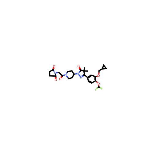 CC1(C)C(=O)N(C2CCN(C(=O)CN3C(=O)CCC3=O)CC2)N=C1c1ccc(OC(F)F)c(OCC2CC2)c1